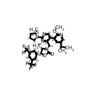 COc1ncc(C(C)C)cc1-c1cnc(N2CCC[C@@H]2C)nc1CN1C(=O)O[C@H](c2cc(C(F)(F)F)cc(C(F)(F)F)c2)[C@@H]1C